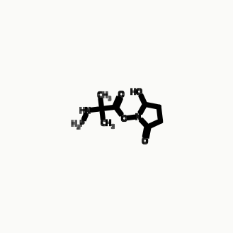 CC(C)(NP)C(=O)ON1C(=O)CCC1O